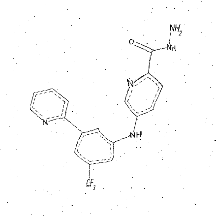 NNC(=O)c1ccc(Nc2cc(-c3ccccn3)cc(C(F)(F)F)c2)cn1